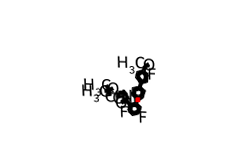 CC(=O)c1ccc(-c2cccc(N(CC(=O)OC(C)(C)C)C(=O)c3c(F)cc(F)cc3F)c2)cc1F